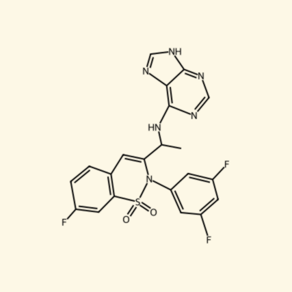 CC(Nc1ncnc2[nH]cnc12)C1=Cc2ccc(F)cc2S(=O)(=O)N1c1cc(F)cc(F)c1